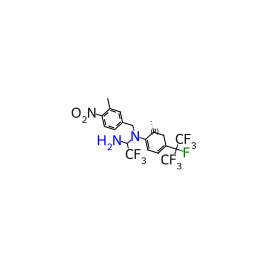 Cc1cc(CN(C2=CC=C(C(F)(C(F)(F)F)C(F)(F)F)C[C@H]2C)C(N)C(F)(F)F)ccc1[N+](=O)[O-]